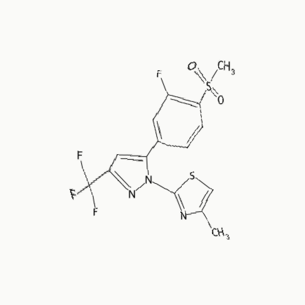 Cc1csc(-n2nc(C(F)(F)F)cc2-c2ccc(S(C)(=O)=O)c(F)c2)n1